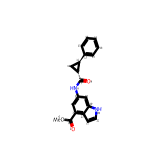 COC(=O)c1cc(NC(=O)[C@@H]2C[C@H]2c2ccccc2)cc2[nH]ccc12